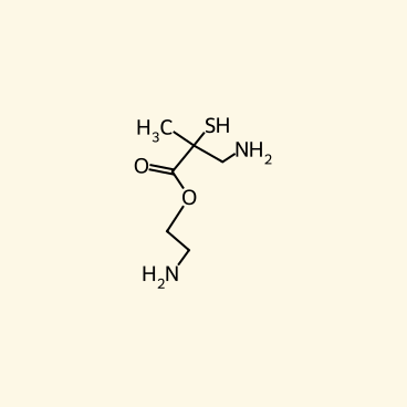 CC(S)(CN)C(=O)OCCN